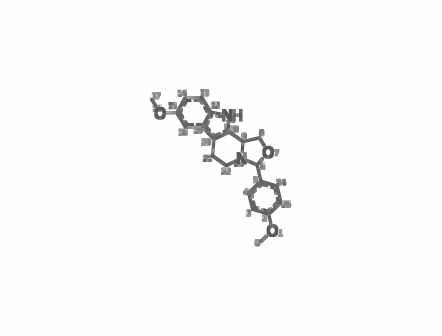 COc1ccc(C2OCC3c4[nH]c5ccc(OC)cc5c4CCN32)cc1